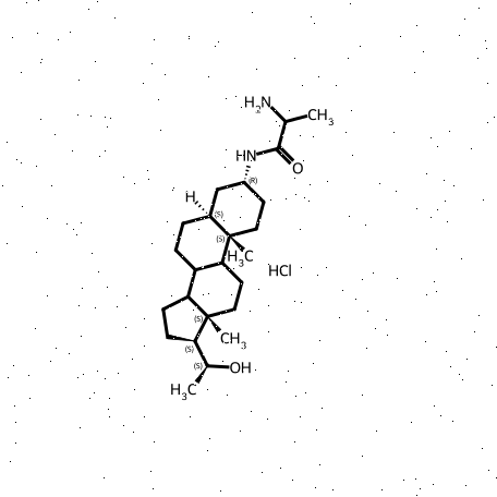 CC(N)C(=O)N[C@@H]1CC[C@]2(C)C3CC[C@@]4(C)C(CC[C@@H]4[C@H](C)O)C3CC[C@H]2C1.Cl